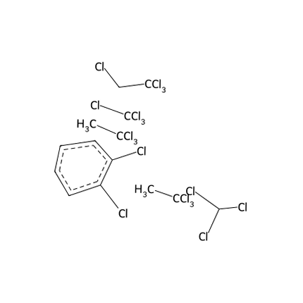 CC(Cl)(Cl)Cl.CC(Cl)(Cl)Cl.ClC(Cl)(Cl)Cl.ClC(Cl)Cl.ClCC(Cl)(Cl)Cl.Clc1ccccc1Cl